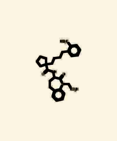 O=C(O)CN1C(=O)C(NC(=O)C2(CCCCc3ccccc3C(=O)O)CCCC2)CCc2ccccc21